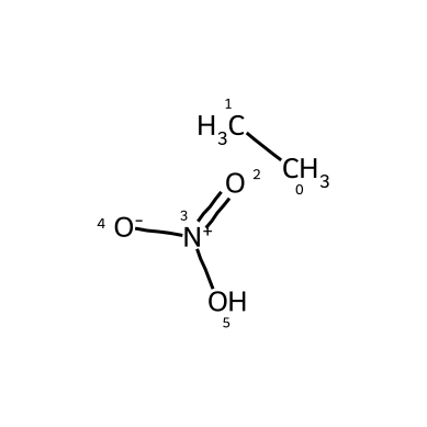 CC.O=[N+]([O-])O